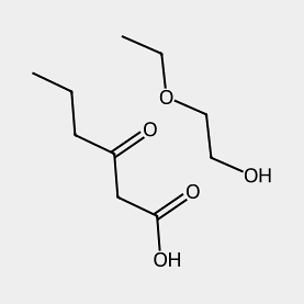 CCCC(=O)CC(=O)O.CCOCCO